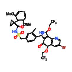 COc1cccc(OC)c1C1(C(=O)NS(=O)(=O)Cc2ccc(C3NC(OCC(F)(F)F)C4=C3C(=O)C(OCC(F)(F)F)c3cc(Br)cnc34)c(C)c2)CC1